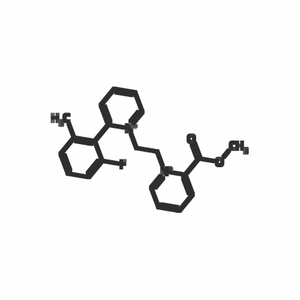 COC(=O)c1cccc[n+]1CC[n+]1ccccc1-c1c(C)cccc1F